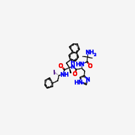 CC(C)(N)C(=O)NC(Cc1c[nH]cn1)C(=O)N[C@@](C)(Cc1ccc2ccccc2c1)C(=O)N[C@@H](I)Cc1ccccc1